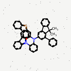 CC1(C)c2ccccc2-c2cc(N(c3ccc4c(c3)sc3ccccc34)c3ccccc3-n3c4ccccc4c4ccccc43)cc(-c3ccccc3)c21